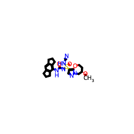 CO[C@H]1CCOc2c([S@@](=O)(=NC(=O)Nc3c4c(cc5c3CCC5)CCC4)NC#N)cnn2C1